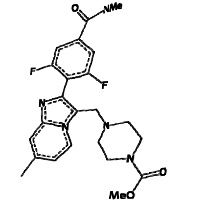 CNC(=O)c1cc(F)c(-c2nc3cc(C)ccn3c2CN2CCN(C(=O)OC)CC2)c(F)c1